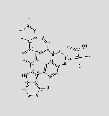 C=CC(=O)N1CCOc2ccc(-c3c(-c4ccc(N5CCN(C)CC5)cc4)[nH]c4nccc(Cl)c34)cc21.O=C(O)C(F)(F)F